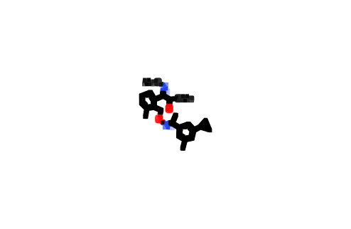 CO/N=C(/C(=O)OC)c1cccc(C)c1CO/N=C(\C)c1cc(C)cc(C2CC2)c1